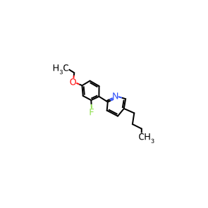 CCCCc1ccc(-c2ccc(OCC)cc2F)nc1